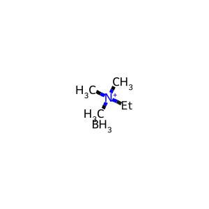 B.CC[N+](C)(C)C